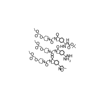 CCOC(=O)COC1CCN(C(=O)CN2Cc3cc(-c4cc(C)on4)ccc3C2=O)CC1.CCOC(=O)COC1CCN(C(=O)CN2Cc3cc(C(=N)N)ccc3C2=O)CC1.CCOC(=O)COC1CCN(C(=O)CN2Cc3cc(C(=N)NC(=O)OC(C)(C)C)ccc3C2=O)CC1